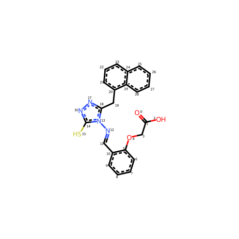 O=C(O)COc1ccccc1/C=N/n1c(S)nnc1Cc1cccc2ccccc12